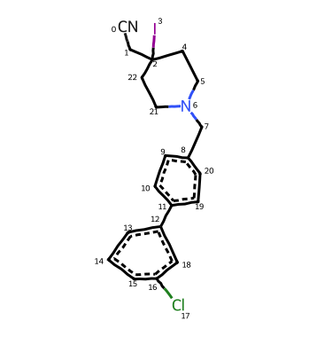 N#CCC1(I)CCN(Cc2ccc(-c3cccc(Cl)c3)cc2)CC1